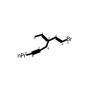 C/C=C(/C=C/Br)CC#CCCC